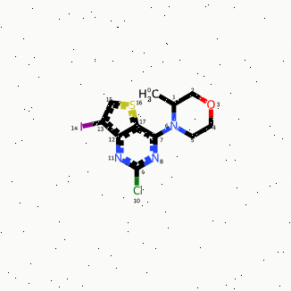 CC1COCCN1c1nc(Cl)nc2c(I)csc12